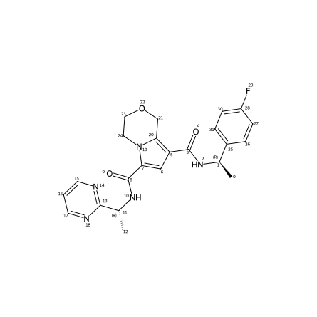 C[C@@H](NC(=O)c1cc(C(=O)N[C@H](C)c2ncccn2)n2c1COCC2)c1ccc(F)cc1